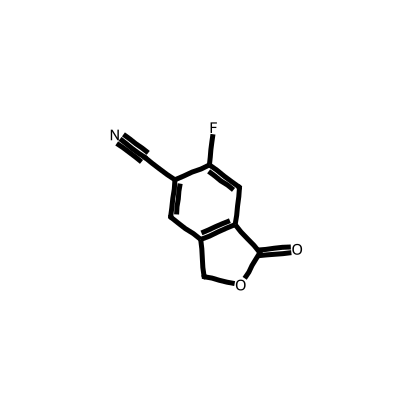 N#Cc1cc2c(cc1F)C(=O)OC2